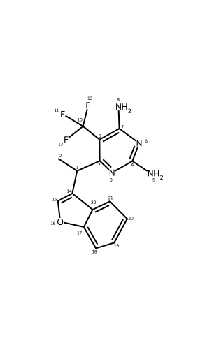 CC(c1nc(N)nc(N)c1C(F)(F)F)c1coc2ccccc12